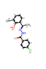 C/C(=N\NC(=O)c1ccc(Cl)cc1)c1cccc(N=O)c1O